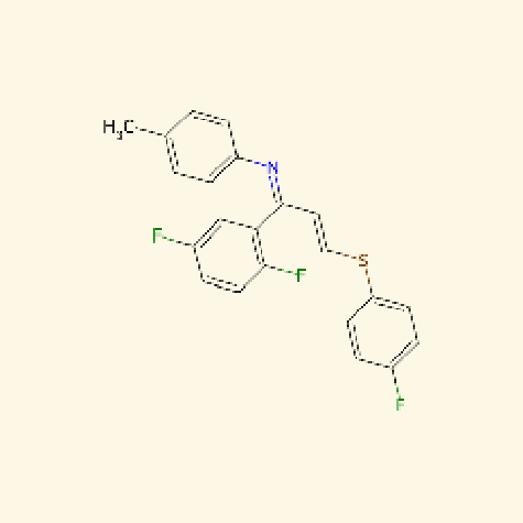 Cc1ccc(N=C(C=CSc2ccc(F)cc2)c2cc(F)ccc2F)cc1